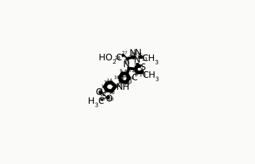 Cc1sc2c(c1C)C(c1ccc(Nc3cccc(S(C)(=O)=O)c3)cc1)=N[C@@H](CC(=O)O)c1nnc(C)n1-2